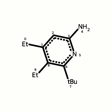 CCc1cc(N)nc(C(C)(C)C)c1CC